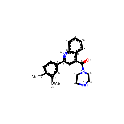 COc1ccc(-c2cc(C(=O)N3CCNCC3)c3ccccc3n2)cc1OC